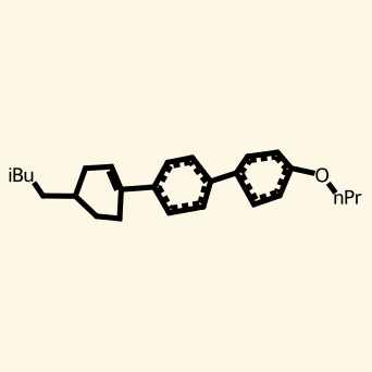 CCCOc1ccc(-c2ccc(C3=CCC(CC(C)CC)CC3)cc2)cc1